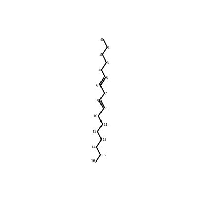 CCCCCC=CCC=CCCCCCCC